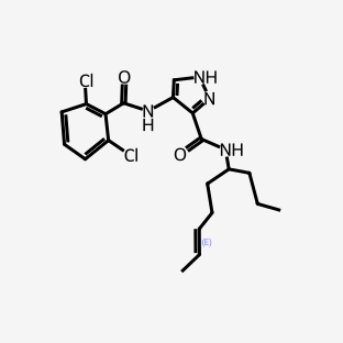 C/C=C/CCC(CCC)NC(=O)c1n[nH]cc1NC(=O)c1c(Cl)cccc1Cl